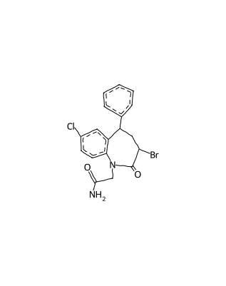 NC(=O)CN1C(=O)C(Br)CC(c2ccccc2)c2cc(Cl)ccc21